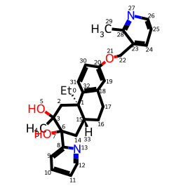 CC[C@@]12CC(C)(O)C(O)(c3ccccn3)C[C@H]1CCc1cc(OCc3cccnc3C)ccc12